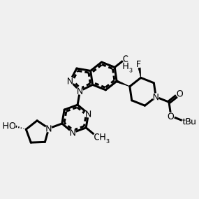 Cc1nc(N2CC[C@H](O)C2)cc(-n2ncc3cc(C)c([C@@H]4CCN(C(=O)OC(C)(C)C)C[C@@H]4F)cc32)n1